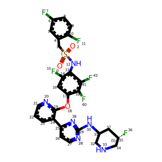 O=S(=O)(Cc1cc(F)ccc1F)Nc1c(F)cc(Oc2ncccc2-c2ccnc(NC3CNC[C@@H](F)C3)n2)c(F)c1F